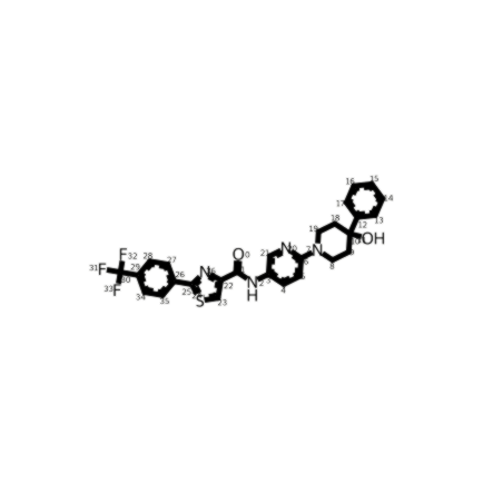 O=C(Nc1ccc(N2CCC(O)(c3ccccc3)CC2)nc1)c1csc(-c2ccc(C(F)(F)F)cc2)n1